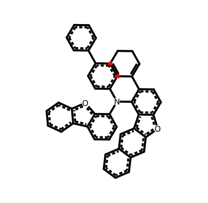 C1=CC(c2ccc3oc4cc5ccccc5cc4c3c2N(c2ccc(-c3ccccc3)cc2)c2cccc3c2oc2ccccc23)=CCC1